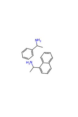 CC(N)c1cccc2ccccc12.CC(N)c1ccccc1